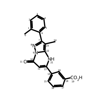 Cc1ccccc1-c1nn2c(=O)cc(-c3cccc(C(=O)O)c3)[nH]c2c1C